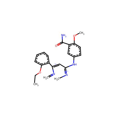 C=N/C(=C\C(=N/C)Nc1ccc(OC)c(C(N)=O)c1)c1ccccc1OCC